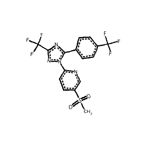 CS(=O)(=O)c1ccc(-n2nc(C(F)(F)F)nc2-c2ccc(C(F)(F)F)cc2)nc1